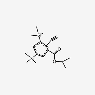 C#Cc1c(C(=O)OC(C)C)cc([Si](C)(C)C)cc1[Si](C)(C)C